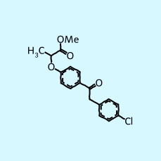 COC(=O)C(C)Oc1ccc(C(=O)Cc2ccc(Cl)cc2)cc1